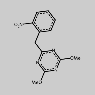 COc1nc(Cc2ccccc2[N+](=O)[O-])nc(OC)n1